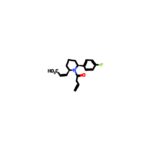 C=CCC(=O)N1[C@@H](/C=C\C(=O)O)CCC[C@H]1c1ccc(F)cc1